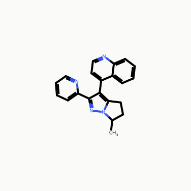 CC1CCc2c(-c3ccnc4ccccc34)c(-c3ccccn3)nn21